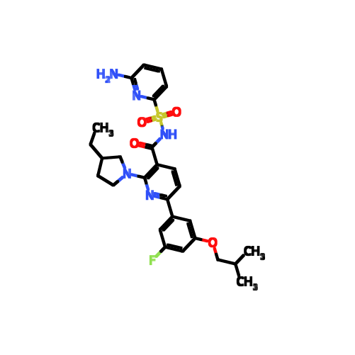 CCC1CCN(c2nc(-c3cc(F)cc(OCC(C)C)c3)ccc2C(=O)NS(=O)(=O)c2cccc(N)n2)C1